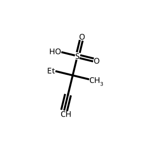 C#CC(C)(CC)S(=O)(=O)O